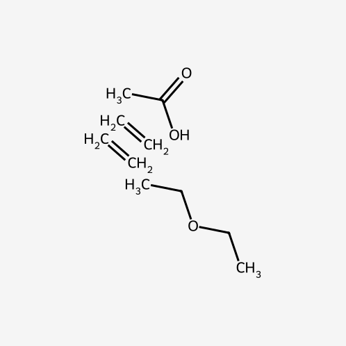 C=C.C=C.CC(=O)O.CCOCC